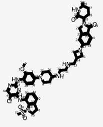 COc1cc(N2CCC(NCCNCC3CN(c4ccc5c(c4)CN(C4CCC(=O)NC4=O)C5=O)C3)CC2)ccc1Nc1ncc(Cl)c(Nc2cccc3c2N(S(C)(=O)=O)CC3)n1